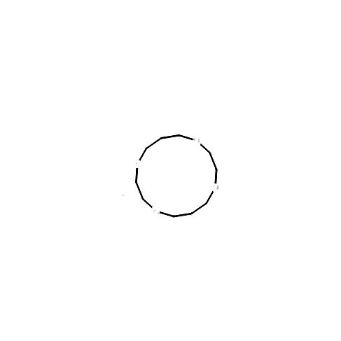 C1CNCCNCCCNCCNC1.Cl.[Co]